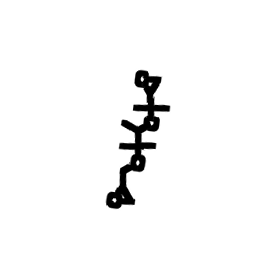 CC(OC(C)(C)C1CO1)C(C)(C)OCC1CO1